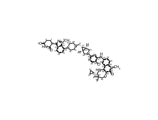 Cn1nc(C2CCC(=O)NC2=O)c2cccc(N3CCN(C[C@@H]4[C@H]5CN(c6ncc(Cl)c(Nc7ccc8c(c7)c7c(c(=O)n8C)OCC(F)(F)[C@H](C8CC8)N7)n6)C[C@@H]45)CC3)c21